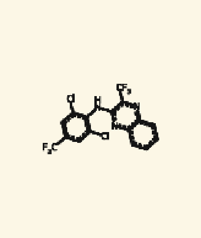 FC(F)(F)c1cc(Cl)c(Nc2nc3ccccc3nc2C(F)(F)F)c(Cl)c1